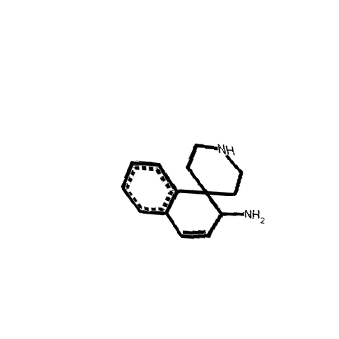 NC1C=Cc2ccccc2C12CCNCC2